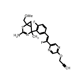 C#CCOc1cnc(C(F)=Cc2ccc(F)c(C3(C)N=C(N)SC4(COC)CC43)c2)cn1